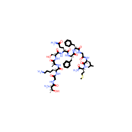 CSCC[C@H](NC(=O)[C@H](CC(C)C)NC(=O)CNC(=O)[C@H](Cc1ccccc1)NC(=O)[C@H](Cc1ccccc1)NC(=O)[C@H](CCC(N)=O)NC(=O)[C@H](CO)NC(=O)[C@H](C)NC(=O)[C@H](CCCCN)NC(=O)CNC(=O)[C@@H](N)[C@@H](C)O)C(N)=O